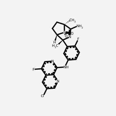 C[C@]12CC[C@@H]([C@@](C)(c3cc(Nc4ncc(F)c5cc(Cl)cnc45)ccc3F)N=C1N)S2(=O)=O